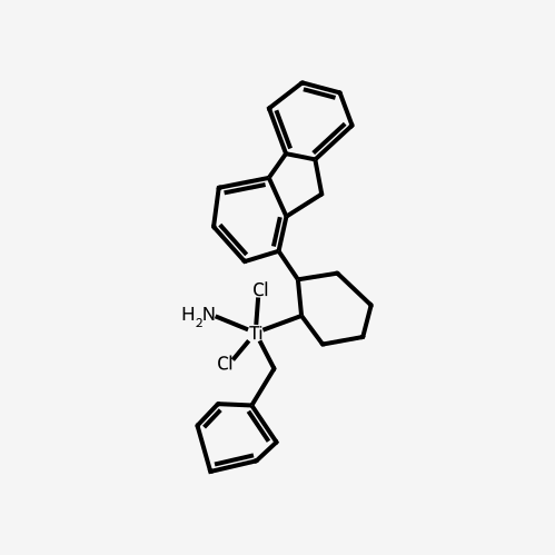 [NH2][Ti]([Cl])([Cl])([CH2]c1ccccc1)[CH]1CCCCC1c1cccc2c1Cc1ccccc1-2